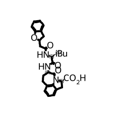 CC[C@H](C)[C@H](NC(=O)CC1Cc2ccccc2O1)C(=O)N[C@H]1CCc2cccc3c2N(C1=O)[C@H](C(=O)O)C3